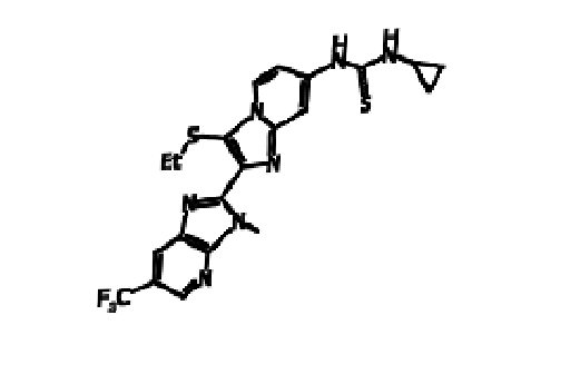 CCSc1c(-c2nc3cc(C(F)(F)F)cnc3n2C)nc2cc(NC(=S)NC3CC3)ccn12